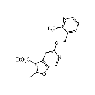 CCOC(=O)c1c(C)oc2cnc(OCc3cccnc3C(F)(F)F)cc12